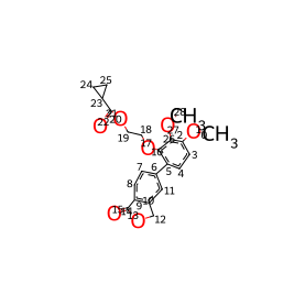 COc1ccc(-c2ccc3c(c2)COC3=O)c(OCCOC(=O)C2CC2)c1OC